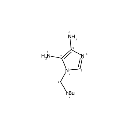 CCCCCn1cnc(N)c1N